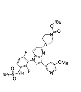 CCCS(=O)(=O)Nc1ccc(F)c(-n2cc(-c3cncc(OC)c3)c3nc(N4CCN(C(=O)OC(C)(C)C)CC4)ccc32)c1F